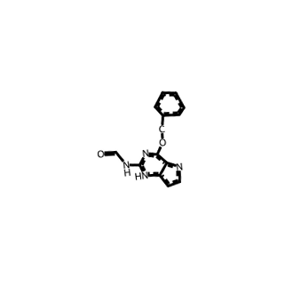 O=CNc1nc(OCc2ccccc2)c2nccc-2[nH]1